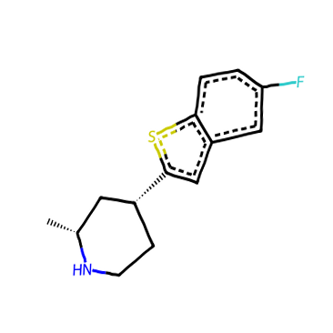 C[C@@H]1C[C@H](c2cc3cc(F)ccc3s2)CCN1